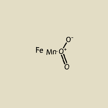 O=[O+][O-].[Fe].[Mn]